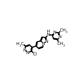 Cc1cc(-c2ccn3nc(Nc4cc(C)nc(C)n4)cc3c2)c(Cl)nn1